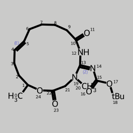 CC1CC/C=C/CCCCC(=O)N/C(=N/C(=O)OC(C)(C)C)N(C)CC(=O)O1